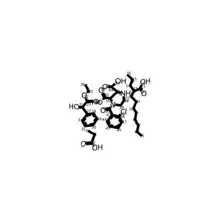 CCC(=O)O.CCCCCCCCC(CCC)C(=O)O.CCOC(=O)C(O)c1ccccc1.O=C(O)C1NCCN(C(=O)c2ccccc2Cl)C1C(=O)O